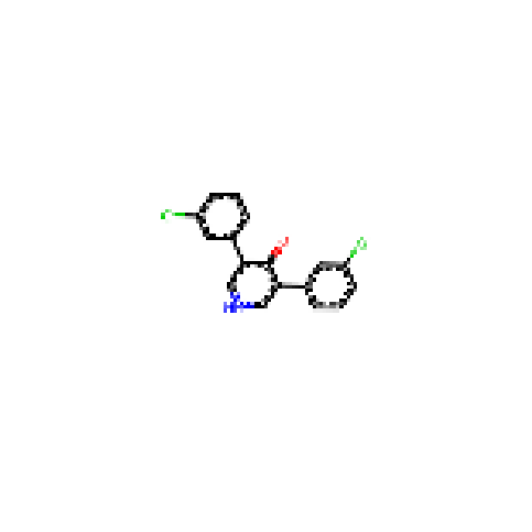 O=c1c(-c2cccc(Cl)c2)c[nH]cc1-c1cccc(Cl)c1